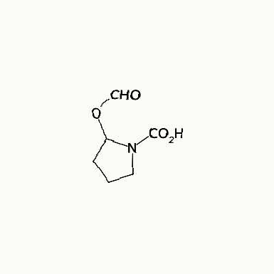 O=COC1CCCN1C(=O)O